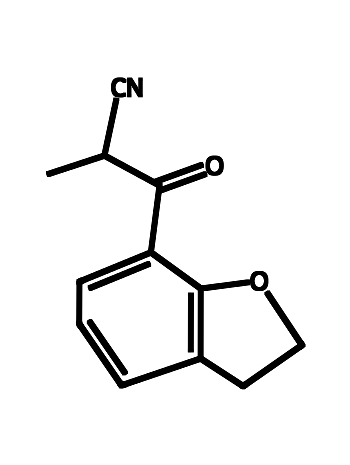 CC(C#N)C(=O)c1cccc2c1OCC2